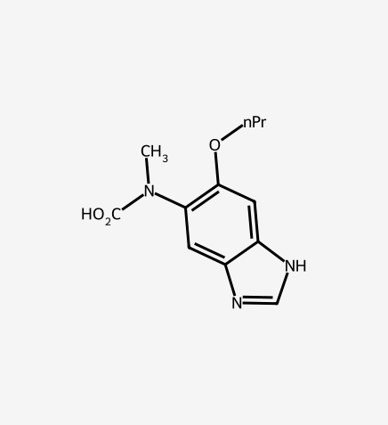 CCCOc1cc2[nH]cnc2cc1N(C)C(=O)O